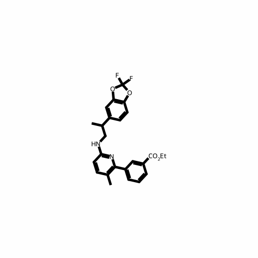 CCOC(=O)c1cccc(-c2nc(NCC(C)c3ccc4c(c3)OC(F)(F)O4)ccc2C)c1